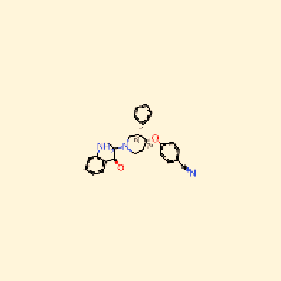 CC(C(=O)c1ccccc1N)N1CC[C@@H](Oc2ccc(C#N)cc2)[C@@H](c2ccccc2)C1